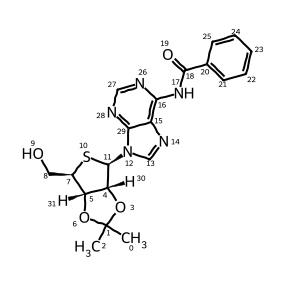 CC1(C)O[C@@H]2[C@H](O1)[C@@H](CO)S[C@H]2n1cnc2c(NC(=O)c3ccccc3)ncnc21